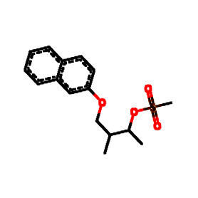 CC(COc1ccc2ccccc2c1)C(C)OS(C)(=O)=O